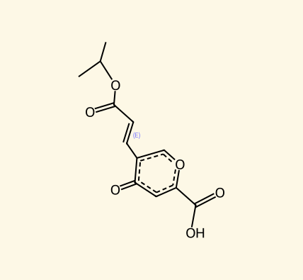 CC(C)OC(=O)/C=C/c1coc(C(=O)O)cc1=O